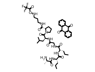 CCC[C@H](NC(=O)[C@H](C)N)C(=O)N[C@@H](CCC)C(=O)NCC(=O)N[C@@H](CC(C)C)C(=O)N1CCC[C@H]1C(=O)NCCCNOC(=O)C(F)(F)F.O=C1c2ccccc2C(=O)c2ccccc21